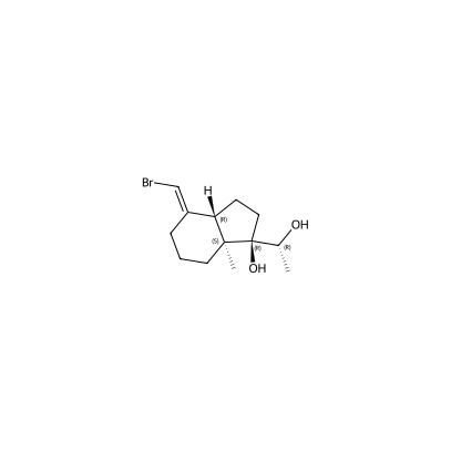 C[C@@H](O)[C@@]1(O)CC[C@H]2C(=CBr)CCC[C@@]21C